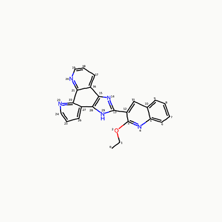 CCOc1nc2ccccc2cc1-c1nc2c3cccnc3c3ncccc3c2[nH]1